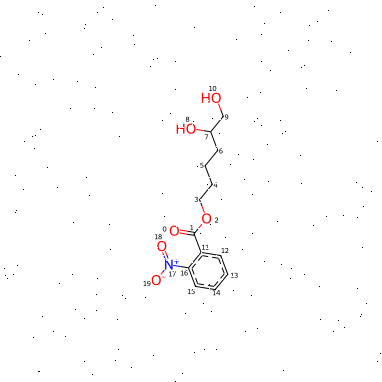 O=C(OCCCCC(O)CO)c1ccccc1[N+](=O)[O-]